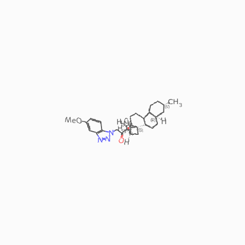 COc1ccc2c(c1)nnn2CC(=O)[C@H]1[C@@H]2C[C@@]3(C4CC[C@@H]5C[C@@H](C)CCC5C4CC[C@]13C)[C@@H]2C